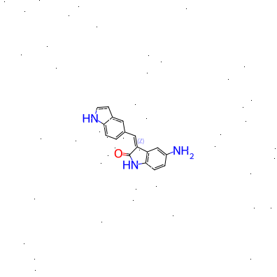 Nc1ccc2c(c1)/C(=C/c1ccc3[nH]ccc3c1)C(=O)N2